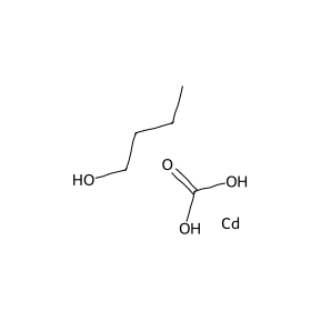 CCCCO.O=C(O)O.[Cd]